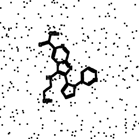 COCCNc1c(-c2cccn2-c2cccnc2)nc2cnc(C(=O)OC)cn12